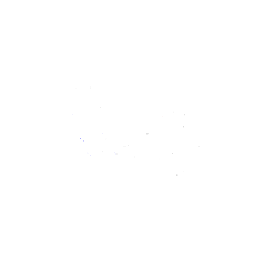 COc1cc(CC(=O)Nc2nnc(-c3ccccn3)[nH]2)cc(OC)c1OC